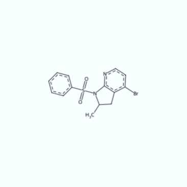 CC1Cc2c(Br)ccnc2N1S(=O)(=O)c1ccccc1